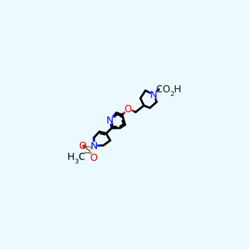 CS(=O)(=O)N1CC=C(c2ccc(OCC3CCN(C(=O)O)CC3)cn2)CC1